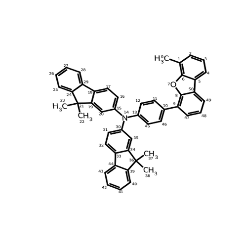 Cc1cccc2c1oc1c(-c3ccc(N(c4ccc5c(c4)C(C)(C)c4ccccc4-5)c4ccc5c(c4)C(C)(C)c4ccccc4-5)cc3)cccc12